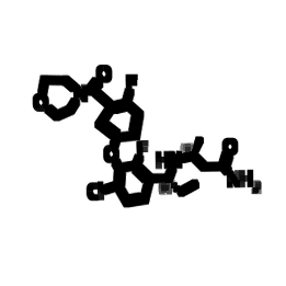 CC[C@@H](N[C@@H](C)CC(N)=O)c1ccc(Cl)c(Oc2ccc(F)c(C(=O)N3CCOCC3)c2)c1F